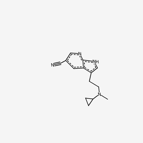 CN(CCc1c[nH]c2ncc(C#N)cc12)C1CC1